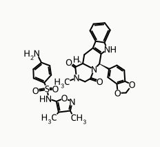 CN1CC(=O)N2[C@H](c3ccc4c(c3)OCO4)c3[nH]c4ccccc4c3C[C@@H]2C1=O.Cc1noc(NS(=O)(=O)c2ccc(N)cc2)c1C